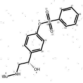 CC(C)(C)NC[C@@H](O)c1ccc(OS(=O)(=O)c2ccccc2)cc1